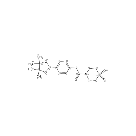 CC1(C)OB(c2ccc(CC(=O)N3CCS(=O)(=O)CC3)cc2)OC1(C)C